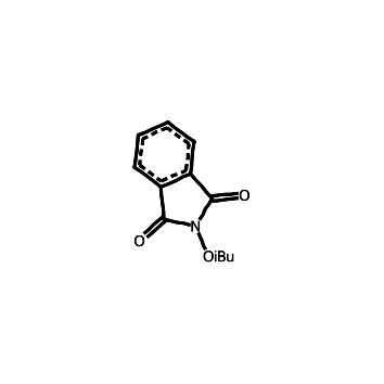 CC(C)CON1C(=O)c2ccccc2C1=O